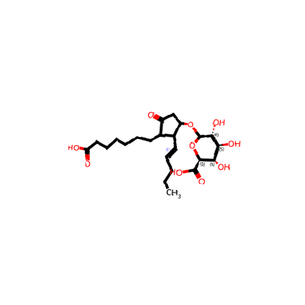 CCC/C=C/C1C(OC2O[C@H](C(=O)O)[C@@H](O)[C@H](O)[C@H]2O)CC(=O)C1CCCCCCC(=O)O